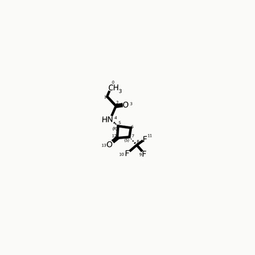 CCC(=O)N[C@@H]1C[C@H](C(F)(F)F)C1=O